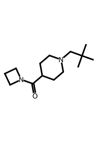 CC(C)(C)CN1CCC(C(=O)N2CCC2)CC1